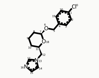 Clc1ccc(CO[C@@H]2CCC[C@H](Cn3ccnc3)O2)cc1